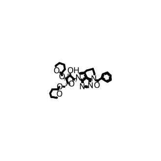 O=C(c1ccccc1)N1CCCc2cn([C@@H]3O[C@H](COC4CCCCO4)[C@@H](OC4CCCCO4)[C@H]3O)c3ncnc1c23